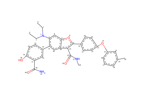 CCN(CC)c1cc2oc(-c3ccc(Oc4cccc(C)c4)cc3)c(C(=O)NC)c2cc1-c1ccc(O)c(C(N)=O)c1